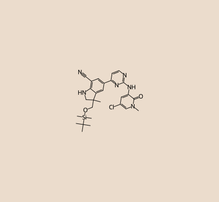 Cn1cc(Cl)cc(Nc2nccc(-c3cc(C#N)c4c(c3)C(C)(CO[Si](C)(C)C(C)(C)C)CN4)n2)c1=O